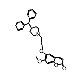 COc1cc2oc(=O)ccc2cc1OCCCN1CCC(C(c2ccccc2)c2ccccc2)CC1